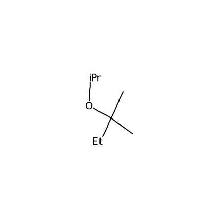 CCC(C)(C)OC(C)C